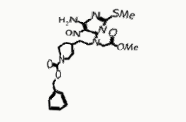 COC(=O)CN(CCC1CCN(C(=O)OCc2ccccc2)CC1)c1nc(SC)nc(N)c1N=O